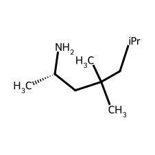 CC(C)CC(C)(C)C[C@H](C)N